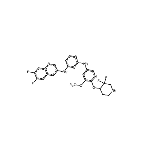 COc1cc(Nc2nccc(Nc3cnc4cc(F)c(F)cc4c3)n2)cnc1OC1CCNCC1(F)F